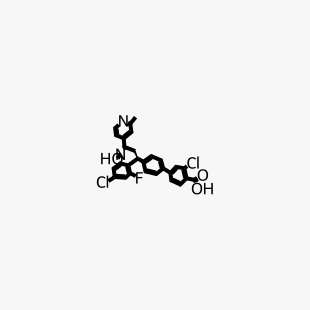 Cc1cc(/C(C[C@@H](c2ccc(-c3ccc(C(=O)O)c(Cl)c3)cc2)c2ccc(Cl)cc2F)=N/O)ccn1